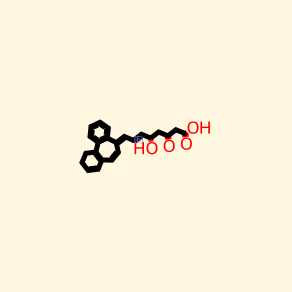 O=C(O)CC(=O)CC(O)/C=C/C=C1C=CC2=C(CCC=C2)c2ccccc21